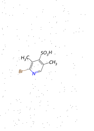 Cc1cnc(Br)c(C)c1S(=O)(=O)O